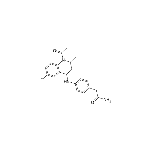 CC(=O)N1c2ccc(F)cc2C(Nc2ccc(CC(N)=O)cc2)CC1C